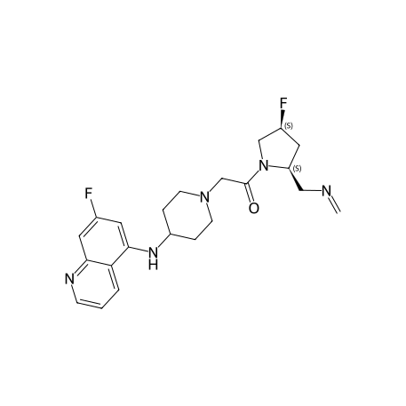 C=NC[C@@H]1C[C@H](F)CN1C(=O)CN1CCC(Nc2cc(F)cc3ncccc23)CC1